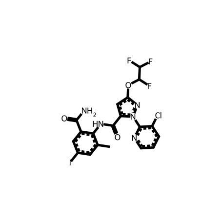 Cc1cc(I)cc(C(N)=O)c1NC(=O)c1cc(OC(F)C(F)F)nn1-c1ncccc1Cl